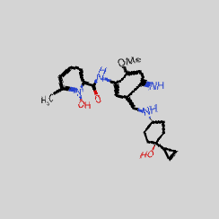 COC1=CC(=N)/C(=C\N[C@H]2CC[C@@](O)(C3CC3)CC2)C=C1NC(=O)c1cccc(C)[n+]1O